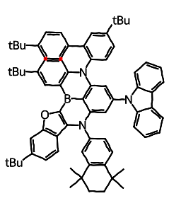 CC(C)(C)c1ccc(-c2cc(C(C)(C)C)ccc2N2c3ccc(C(C)(C)C)cc3B3c4oc5cc(C(C)(C)C)ccc5c4N(c4ccc5c(c4)C(C)(C)CCC5(C)C)c4cc(-n5c6ccccc6c6ccccc65)cc2c43)cc1